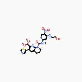 COC(OC)c1nc2c(cc1-c1cncs1)CCCN2C(=O)Nc1cc(NCCO)c([N+](=O)[O-])cn1